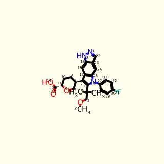 COCC(C)(C)c1c([C@@H]2CC[C@@H](C(=O)O)OC2)c2cc3[nH]ncc3cc2n1-c1ccc(F)cc1